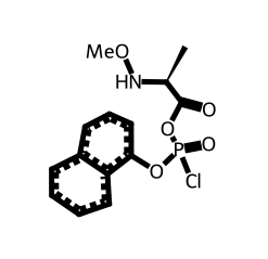 CON[C@@H](C)C(=O)OP(=O)(Cl)Oc1cccc2ccccc12